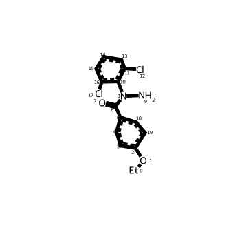 CCOc1ccc(C(=O)N(N)c2c(Cl)cccc2Cl)cc1